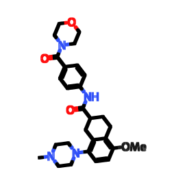 COc1ccc(N2CCN(C)CC2)c2c1CCC(C(=O)Nc1ccc(C(=O)N3CCOCC3)cc1)C2